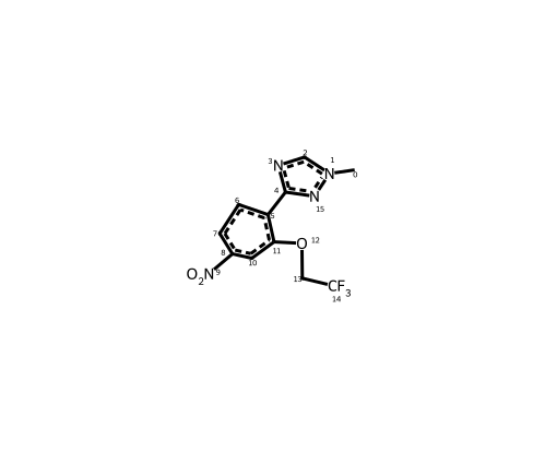 Cn1cnc(-c2ccc([N+](=O)[O-])cc2OCC(F)(F)F)n1